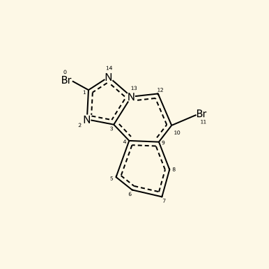 Brc1nc2c3ccccc3c(Br)cn2n1